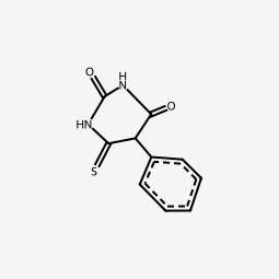 O=C1NC(=O)C(c2ccccc2)C(=S)N1